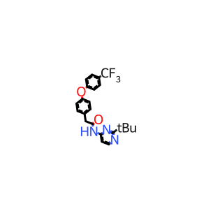 CC(C)(C)c1nccc(NC(=O)Cc2ccc(Oc3ccc(C(F)(F)F)cc3)cc2)n1